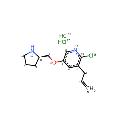 C=CCc1cc(OC[C@H]2CCCN2)cnc1Cl.Cl.Cl